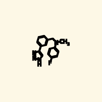 CN(Cc1cccc(-c2c[nH]nn2)c1)c1ccc(F)cc1